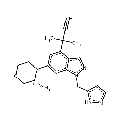 C#CC(C)(C)c1cc(N2CCOC[C@H]2C)nc2c1cnn2Cc1ccn[nH]1